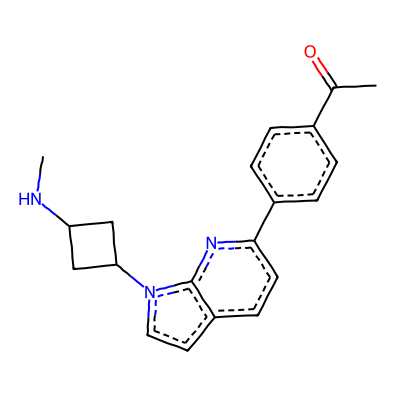 CNC1CC(n2ccc3ccc(-c4ccc(C(C)=O)cc4)nc32)C1